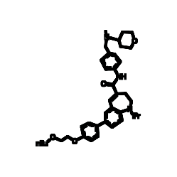 CCCCOCCOc1ccc(-c2ccc3c(c2)C=C(C(=O)Nc2ccc(CN(C)C4CCOCC4)cc2)CCN3C(C)C)cc1